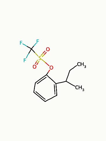 CCC(C)c1ccccc1OS(=O)(=O)C(F)(F)F